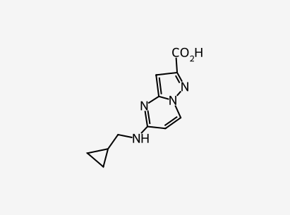 O=C(O)c1cc2nc(NCC3CC3)ccn2n1